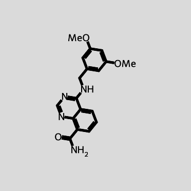 COc1cc(CNc2ncnc3c(C(N)=O)cccc23)cc(OC)c1